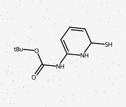 CC(C)(C)OC(=O)NC1=CC=CC(S)N1